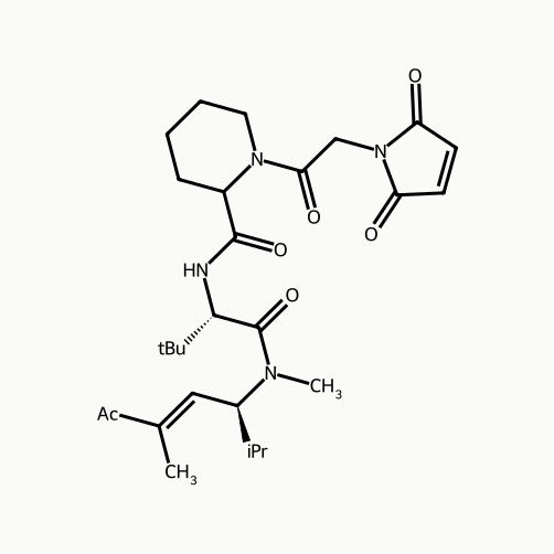 CC(=O)/C(C)=C/[C@H](C(C)C)N(C)C(=O)[C@@H](NC(=O)C1CCCCN1C(=O)CN1C(=O)C=CC1=O)C(C)(C)C